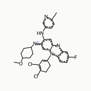 COC1CCC(/N=c2\cc3n(C4=CC(Cl)=C(Cl)CC4)c4ccc(F)cc4nc-3cc2Nc2ccc(C)nc2)CC1